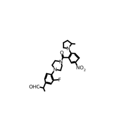 CC(C=O)c1ccc(N2CCN(C(=O)c3cc([N+](=O)[O-])ccc3N3CCCC3C)CC2)c(F)c1